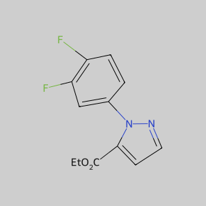 CCOC(=O)c1ccnn1-c1ccc(F)c(F)c1